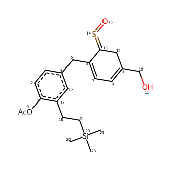 CC(=O)Oc1ccc(CC2=CC=C(CO)CC2=S=O)cc1CC[Si](C)(C)C